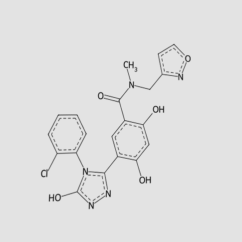 CN(Cc1ccon1)C(=O)c1cc(-c2nnc(O)n2-c2ccccc2Cl)c(O)cc1O